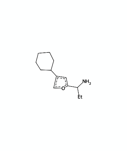 CCC(N)c1cc(C2CCCCC2)co1